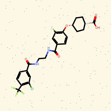 O=C(NCCNC(=O)c1ccc(C(F)(F)F)c(Cl)c1)c1ccc(O[C@H]2CC[C@@H](C(=O)O)CC2)c(F)c1